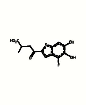 CC(CC(=O)c1cc2c(F)c(O)c(O)cc2s1)C(=O)O